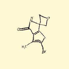 Cc1c(Br)sc2c1C(=O)NC21COC1